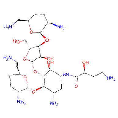 NCC[C@H](O)C(=O)N[C@@H]1C[C@H](N)[C@@H](O[C@H]2O[C@H](CN)CC[C@H]2N)[C@H](O[C@@H]2O[C@H](CO)[C@@H](O[C@H]3O[C@@H](CN)CC[C@H]3N)[C@H]2O)[C@H]1O